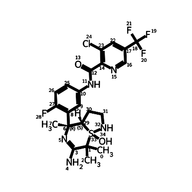 CC1(C)C(N)=N[C@](C)(c2cc(NC(=O)c3ncc(C(F)(F)F)cc3Cl)ccc2F)[C@@H]2CCNS21O